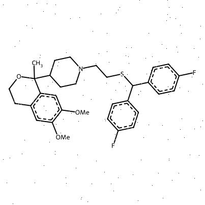 COc1cc2c(cc1OC)C(C)(C1CCN(CCSC(c3ccc(F)cc3)c3ccc(F)cc3)CC1)OCC2